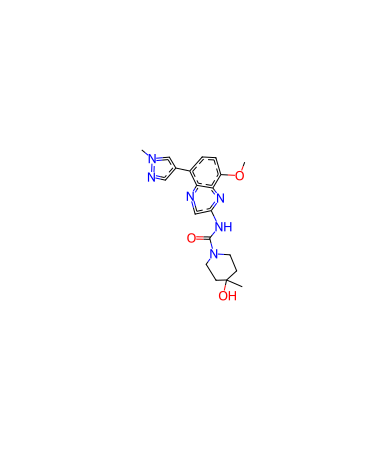 COc1ccc(-c2cnn(C)c2)c2ncc(NC(=O)N3CCC(C)(O)CC3)nc12